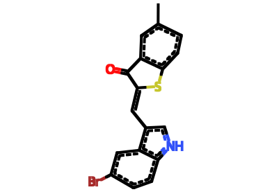 Cc1ccc2c(c1)C(=O)/C(=C/c1c[nH]c3ccc(Br)cc13)S2